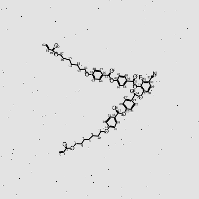 C=CC(=O)OCCCCCCCOc1ccc(C(=O)Oc2ccc(C(=O)Oc3ccc(C#N)c(F)c3OC(=O)c3ccc(OC(=O)c4ccc(OCCCCCCCOC(=O)C=C)cc4)cc3)cc2)cc1